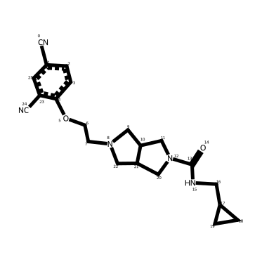 N#Cc1ccc(OCCN2CC3CN(C(=O)NCC4CC4)CC3C2)c(C#N)c1